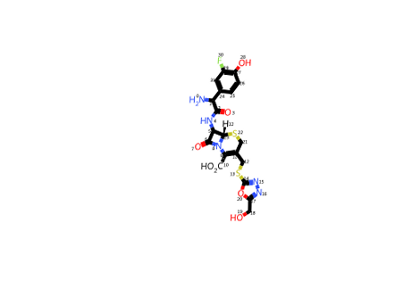 NC(C(=O)NC1C(=O)N2C(C(=O)O)=C(CSc3nnc(CO)o3)CS[C@@H]12)c1ccc(O)c(F)c1